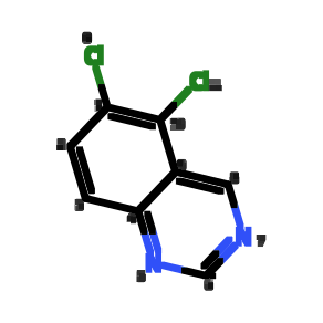 Clc1ccc2n[c]ncc2c1Cl